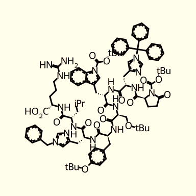 CC(C)C[C@H](NC(=O)[C@@H](Cc1cn(Cc2ccccc2)cn1)NC(=O)[C@H](Cc1ccc(OC(C)(C)C)cc1)NC(=O)[C@H](COC(C)(C)C)NC(=O)[C@H](Cc1cn(C(=O)OC(C)(C)C)c2ccccc12)NC(=O)[C@H](Cc1cn(C(c2ccccc2)(c2ccccc2)c2ccccc2)cn1)NC(=O)[C@@H]1CCC(=O)N1C(=O)OC(C)(C)C)C(=O)N[C@@H](CCCNC(=N)N)C(=O)O